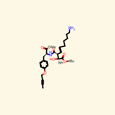 CC#CCOc1ccc(C[C@H](NC(=O)[C@@H](/C=C/CCCCCN)[C@@](O)(CCC)C(=O)OC(C)(C)C)C(=O)OC)cc1